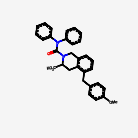 COc1ccc(Cc2cccc3c2CC(C(=O)O)N(C(=O)N(c2ccccc2)c2ccccc2)C3)cc1